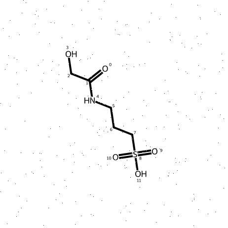 O=C(CO)NCCCS(=O)(=O)O